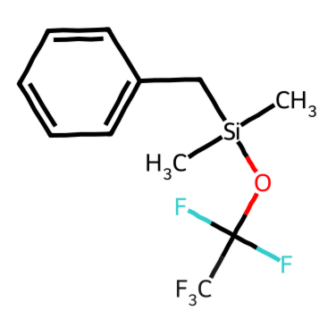 C[Si](C)(Cc1ccccc1)OC(F)(F)C(F)(F)F